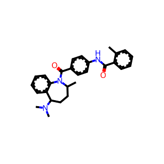 Cc1ccccc1C(=O)Nc1ccc(C(=O)N2c3ccccc3C(N(C)C)CCC2C)cc1